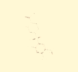 Cc1cc(F)c(S(=O)(=O)N2CCN(C(=O)O)CC2)cc1[N+](=O)[O-]